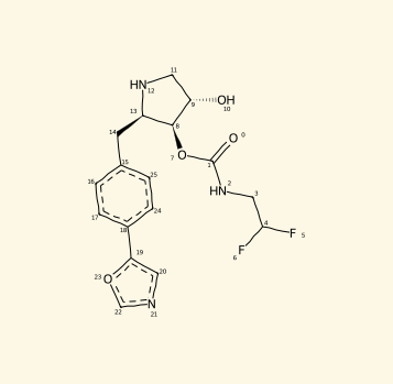 O=C(NCC(F)F)O[C@@H]1[C@@H](O)CN[C@@H]1Cc1ccc(-c2cnco2)cc1